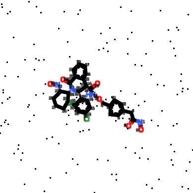 O=NC(=O)Cc1ccc(CONC(=O)[C@@H]2c3ccccc3C(=O)N([C@H]3CCCC[C@@H]3N=O)[C@H]2c2ccc(Cl)cc2Cl)cc1